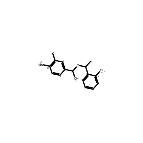 Cc1cc(C(O)OC(C)c2ccccc2C(F)(F)F)ccc1C(C)(C)C